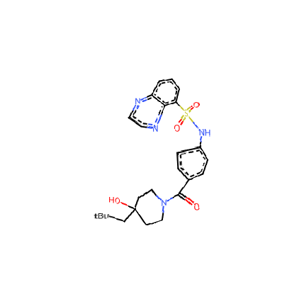 CC(C)(C)CC1(O)CCN(C(=O)c2ccc(NS(=O)(=O)c3cccc4nccnc34)cc2)CC1